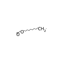 [CH2]CCCCCCCCCOCC1CO1